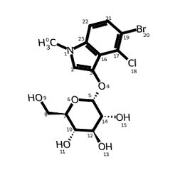 Cn1cc(O[C@H]2O[C@H](CO)[C@@H](O)[C@H](O)[C@H]2O)c2c(Cl)c(Br)ccc21